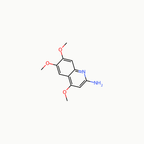 COc1cc2nc(N)cc(OC)c2cc1OC